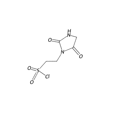 O=C1CNC(=O)N1CCS(=O)(=O)Cl